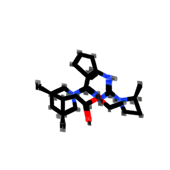 CCOC(=O)CC1[C@@H]2C[C@H]1CN(c1nc(N3CC[C@@H]3C)nc3c1CCC3)C2